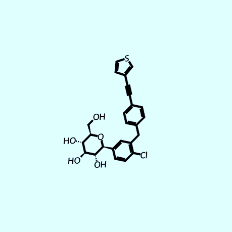 OC[C@H]1O[C@@H](c2ccc(Cl)c(Cc3ccc(C#Cc4ccsc4)cc3)c2)[C@H](O)[C@@H](O)[C@@H]1O